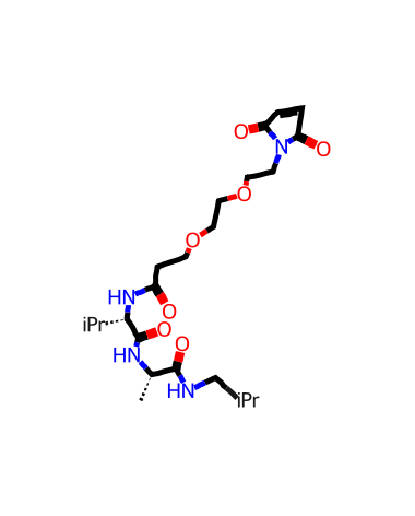 CC(C)CNC(=O)[C@H](C)NC(=O)[C@@H](NC(=O)CCOCCOCCN1C(=O)C=CC1=O)C(C)C